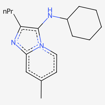 CCCc1nc2cc(C)ccn2c1NC1CCCCC1